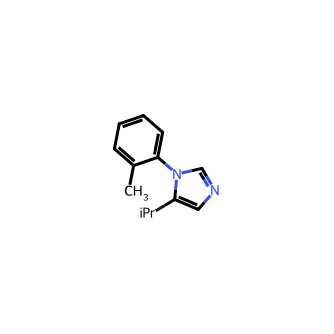 Cc1ccccc1-n1cncc1C(C)C